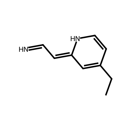 CCC1=C/C(=C/C=N)NC=C1